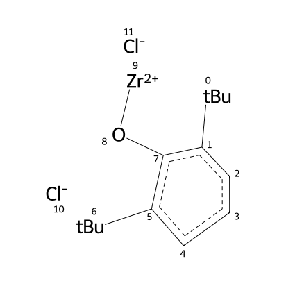 CC(C)(C)c1cccc(C(C)(C)C)c1[O][Zr+2].[Cl-].[Cl-]